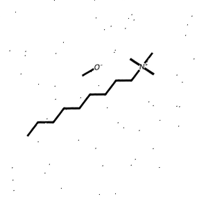 CCCCCCCCC[N+](C)(C)C.C[O-]